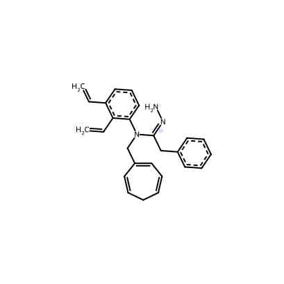 C=Cc1cccc(N(CC2=CC=CCC=C2)/C(Cc2ccccc2)=N\N)c1C=C